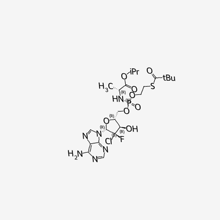 CC(C)OC(=O)[C@@H](C)N[P@@](=O)(OCCSC(=O)C(C)(C)C)OC[C@H]1O[C@@H](n2cnc3c(N)ncnc32)[C@@](F)(Cl)[C@@H]1O